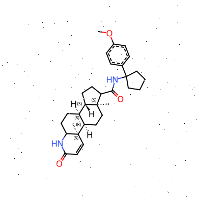 COc1ccc(C2(NC(=O)C3CC[C@H]4[C@@H]5CCC6NC(=O)C=C[C@]6(C)[C@@H]5CC[C@]34C)CCCC2)cc1